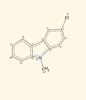 CCc1ccc2c(c1)c1ccccc1n2C